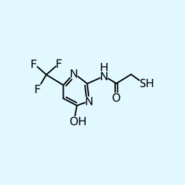 O=C(CS)Nc1nc(O)cc(C(F)(F)F)n1